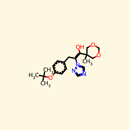 CC(C)(C)Oc1ccc(CC(=C(O)C2(C)COCOC2)n2cncn2)cc1